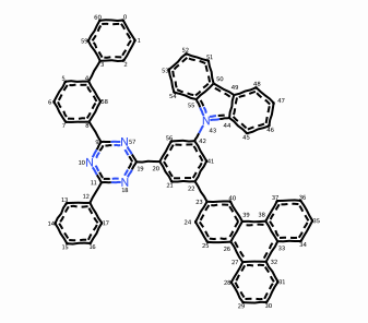 c1ccc(-c2cccc(-c3nc(-c4ccccc4)nc(-c4cc(-c5ccc6c7ccccc7c7ccccc7c6c5)cc(-n5c6ccccc6c6ccccc65)c4)n3)c2)cc1